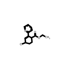 CCOC(=O)C1CCC(Cl)C=C1c1ccccn1